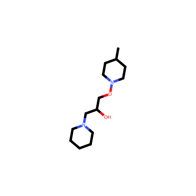 CC1CCN(OCC(O)CN2CCCCC2)CC1